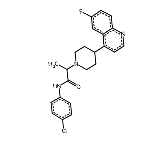 CC(C(=O)Nc1ccc(Cl)cc1)N1CCC(c2ccnc3ccc(F)cc23)CC1